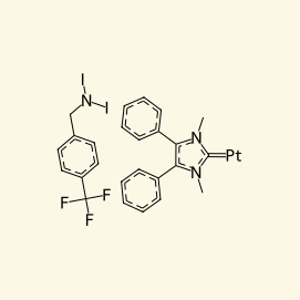 Cn1c(-c2ccccc2)c(-c2ccccc2)n(C)[c]1=[Pt].FC(F)(F)c1ccc(CN(I)I)cc1